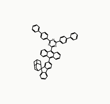 c1ccc(-c2ccc(-c3nc(-c4ccc(-c5ccccc5)cc4)nc(-c4c5ccccc5c(-c5ccc6c(c5)C5(c7ccccc7-6)C6CC7CC(C6)CC5C7)c5ccccc45)n3)cc2)cc1